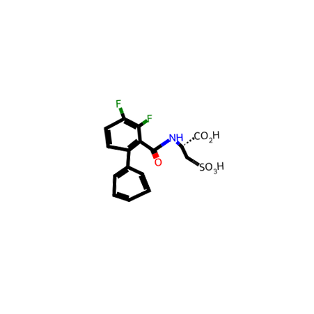 O=C(N[C@@H](CS(=O)(=O)O)C(=O)O)c1c(-c2ccccc2)ccc(F)c1F